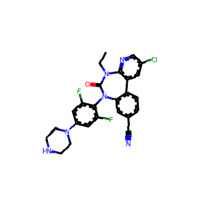 CCN1C(=O)N(c2c(F)cc(N3CCNCC3)cc2F)c2cc(C#N)ccc2-c2cc(Cl)cnc21